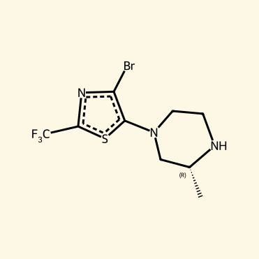 C[C@@H]1CN(c2sc(C(F)(F)F)nc2Br)CCN1